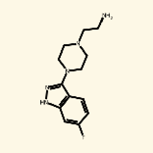 NCCN1CCN(c2n[nH]c3cc(F)ccc23)CC1